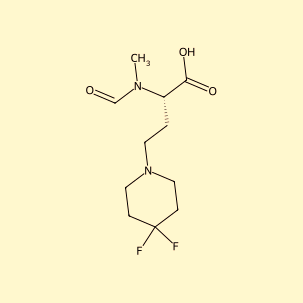 CN(C=O)[C@@H](CCN1CCC(F)(F)CC1)C(=O)O